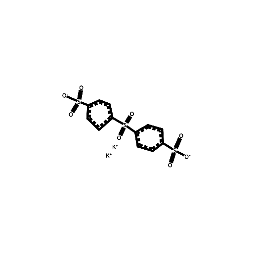 O=S(=O)([O-])c1ccc(S(=O)(=O)c2ccc(S(=O)(=O)[O-])cc2)cc1.[K+].[K+]